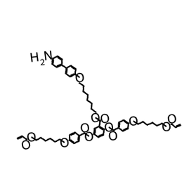 C=CC(=O)OCCCCCCOc1ccc(C(=O)Oc2ccc(OC(=O)c3ccc(OCCCCCCOC(=O)C=C)cc3)c(C(=O)OCCCCCCCCOc3ccc(-c4ccc(N)cc4)cc3)c2)cc1